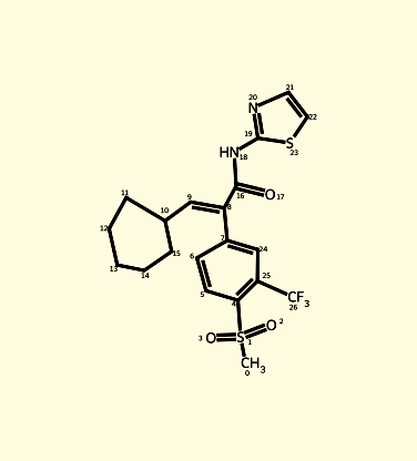 CS(=O)(=O)c1ccc(/C(=C\C2CCCCC2)C(=O)Nc2nccs2)cc1C(F)(F)F